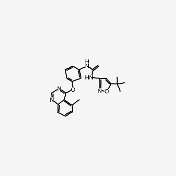 C=C(Nc1cccc(Oc2ncnc3cccc(C)c23)c1)Nc1cc(C(C)(C)C)on1